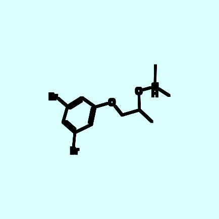 CC(COc1cc(Br)cc(Br)c1)O[SiH](C)C